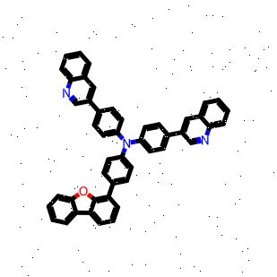 c1ccc2ncc(-c3ccc(N(c4ccc(-c5cnc6ccccc6c5)cc4)c4ccc(-c5cccc6c5oc5ccccc56)cc4)cc3)cc2c1